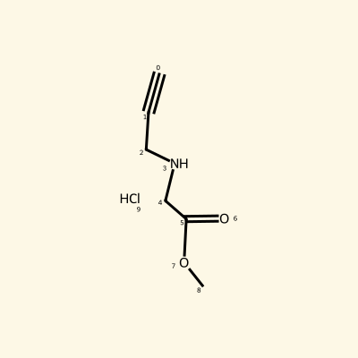 C#CCNCC(=O)OC.Cl